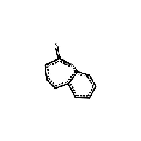 S=c1cccc2ccccc2n1